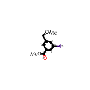 COCc1cc(I)cc(C(=O)OC)c1